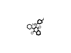 O=C1C(Nc2ccc(I)cc2)=C(N2CCCCC2)C(=O)c2ccccc21